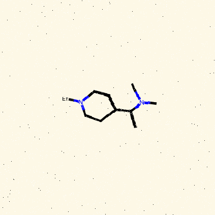 CCN1CCC(C(C)N(C)C)CC1